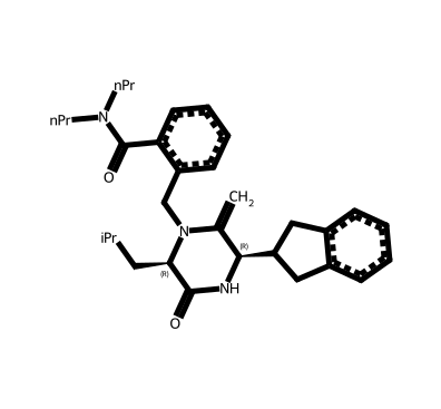 C=C1[C@@H](C2Cc3ccccc3C2)NC(=O)[C@@H](CC(C)C)N1Cc1ccccc1C(=O)N(CCC)CCC